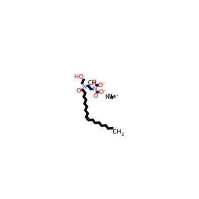 CCCCCCCC/C=C\CCCCCCCC(=O)N(CCO)C(C)CN(C(=O)[O-])C(=O)[O-].[Na+].[Na+]